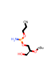 CCCCO[C@@H](CO)COP(N)OCCC#N